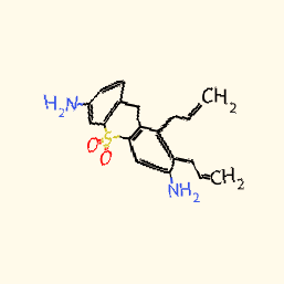 C=CCc1c(N)cc2c(c1CC=C)Cc1ccc(N)cc1S2(=O)=O